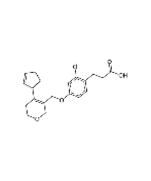 O=C(O)CCc1ccc(OCC2=C(C3C=CCC3)CCOC2)cc1Cl